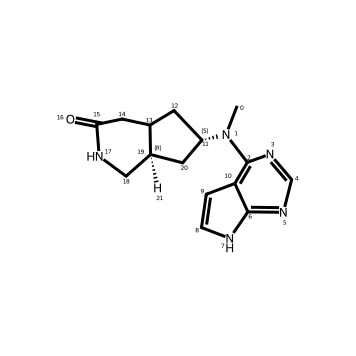 CN(c1ncnc2[nH]ccc12)[C@H]1CC2CC(=O)NC[C@@H]2C1